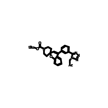 CC(=O)Cn1nnnc1-c1cccc(C2=CC3(CCN(C(=O)OC(C)(C)C)CC3)Oc3ccccc32)c1